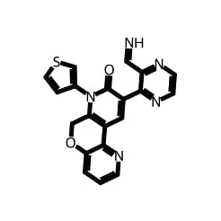 N=Cc1nccnc1-c1cc2c(n(-c3ccsc3)c1=O)COc1cccnc1-2